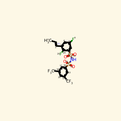 C/C=C/c1cc(F)cc(S(=O)(=O)NS(=O)(=O)c2cc(C(F)(F)F)cc(C(F)(F)F)c2)c1F